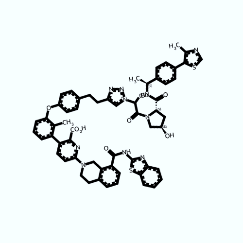 Cc1ncsc1-c1ccc([C@H](C)NC(=O)[C@@H]2C[C@@H](O)CN2C(=O)C(n2cc(CCc3ccc(Oc4cccc(-c5ccc(N6CCc7cccc(C(=O)Nc8nc9ccccc9s8)c7C6)nc5C(=O)O)c4C)cc3)nn2)C(C)(C)C)cc1